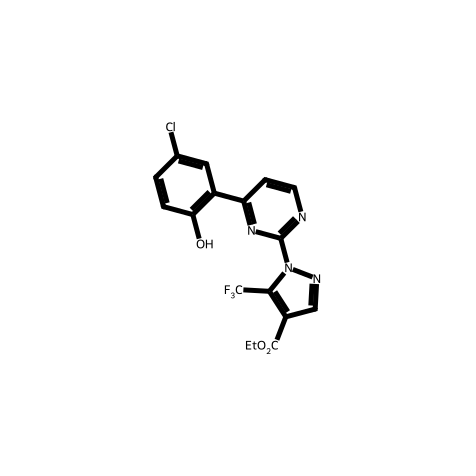 CCOC(=O)c1cnn(-c2nccc(-c3cc(Cl)ccc3O)n2)c1C(F)(F)F